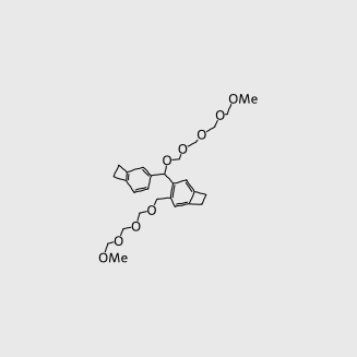 COCOCOCOCOC(c1ccc2c(c1)CC2)c1cc2c(cc1COCOCOCOC)CC2